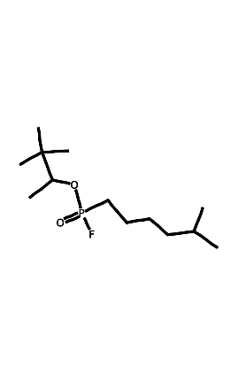 CC(C)CCCCP(=O)(F)OC(C)C(C)(C)C